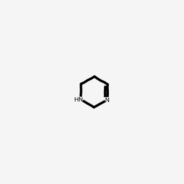 C1=NCNCC1